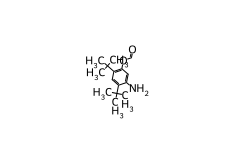 CC(C)(C)c1cc(C(C)(C)C)c(OC=O)cc1N